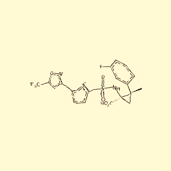 C[C@@]1(c2cccc(F)c2)C[C@]1(NS(=O)(=O)c1ccc(-c2cc(C(F)(F)F)on2)s1)C(=O)O